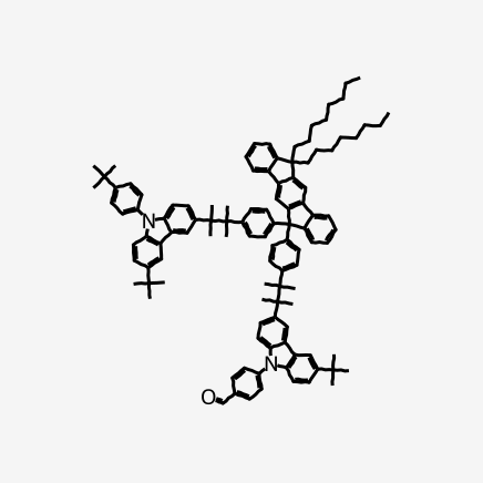 CCCCCCCCC1(CCCCCCCC)c2ccccc2-c2cc3c(cc21)-c1ccccc1C3(c1ccc(C(C)(C)C(C)(C)c2ccc3c(c2)c2cc(C(C)(C)C)ccc2n3-c2ccc(C=O)cc2)cc1)c1ccc(C(C)(C)C(C)(C)c2ccc3c(c2)c2cc(C(C)(C)C)ccc2n3-c2ccc(C(C)(C)C)cc2)cc1